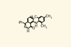 Cc1cc(C)c(Nc2cccc3c(C(C)C)n[nH]c(=O)c23)c(C)c1